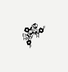 CCC(C(=O)Nc1ccc(F)cc1)N1C(=O)C(NC(=O)Nc2ccc(F)cc2)N=C(CN2CCOCC2)c2ccccc21